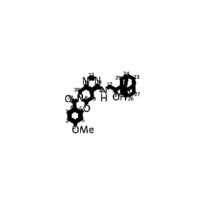 COc1ccc2c(c1)OC1Cc3c(ncnc3NCC(O)C34CC5CC(CC(C5)C3)C4)CN1C2=O